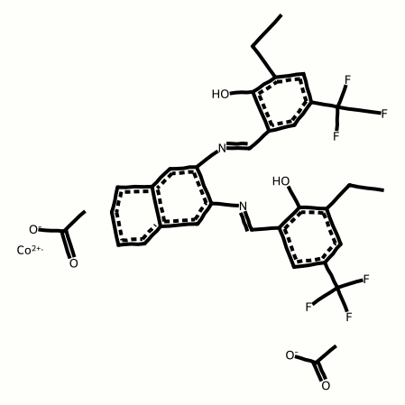 CC(=O)[O-].CC(=O)[O-].CCc1cc(C(F)(F)F)cc(C=Nc2cc3ccccc3cc2N=Cc2cc(C(F)(F)F)cc(CC)c2O)c1O.[Co+2]